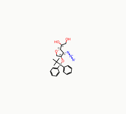 CC(C)(C)[Si](O[C@H]1CO[C@H]([C@@H](O)CO)[C@@H]1N=[N+]=[N-])(c1ccccc1)c1ccccc1